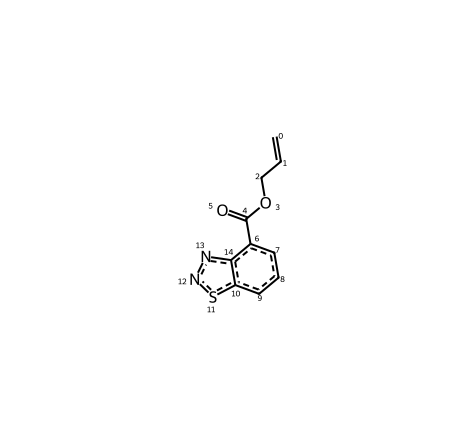 C=CCOC(=O)c1cccc2snnc12